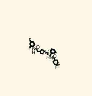 C[C@H](C[C@H](NC(=O)C1CCC(F)(F)CC1)c1ccccc1)N1CCC(CC(=O)Nc2ccc(F)cc2F)CC1